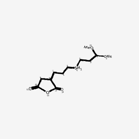 COC(CC[SiH2]CCCC1CC(=O)OC1=O)OC